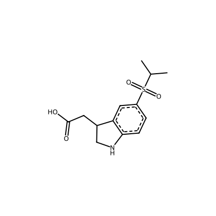 CC(C)S(=O)(=O)c1ccc2c(c1)C(CC(=O)O)CN2